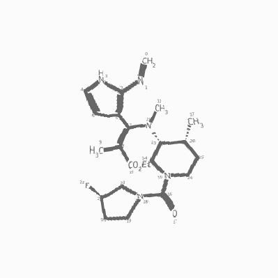 C=Nc1[nH]ccc1/C(=C(\C)C(=O)OCC)N(C)[C@H]1CN(C(=O)N2CC[C@@H](F)C2)CC[C@H]1C